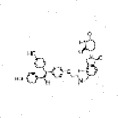 CC/C(=C(/c1ccc(O)cc1)c1ccc(OCCN(C)Cc2ccc3c(c2F)CN(C2CCC(=O)NC2=O)C3=O)cc1)c1ccc(O)cc1